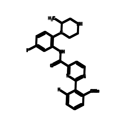 COc1cccc(F)c1-c1nccc(C(=O)Nc2cc(F)ccc2N2CCNCC2C)n1